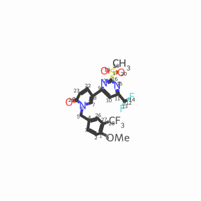 COc1ccc(Cn2cc(-c3cc(C(F)F)nc(S(C)(=O)=O)n3)ccc2=O)cc1C(F)(F)F